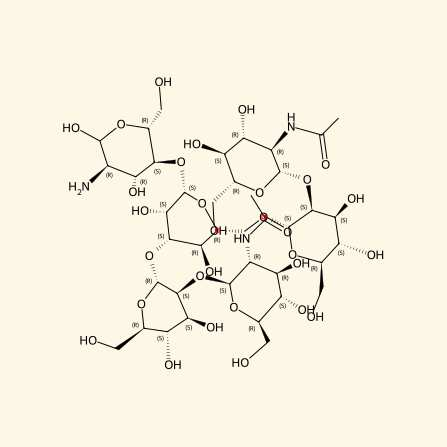 CC(=O)N[C@H]1[C@H](O[C@@H]2[C@@H](OC[C@H]3O[C@@H](O[C@H]4[C@H](O)[C@@H](N)C(O)O[C@@H]4CO)[C@@H](O)[C@@H](O[C@H]4O[C@H](CO)[C@@H](O)[C@H](O)[C@@H]4O[C@@H]4O[C@H](CO)[C@@H](O)[C@H](O)[C@H]4NC(C)=O)[C@@H]3O)O[C@H](CO)[C@@H](O)[C@@H]2O)O[C@H](CO)[C@@H](O)[C@@H]1O